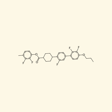 CCCOc1ccc(-c2ccc(C3CCC(C(=O)Oc4ccc(C)c(F)c4F)CC3)c(F)c2)c(F)c1F